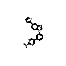 CN(C)c1ncc(-c2cccc(-n3cnc4cc(-c5ccco5)ccc43)c2)cn1